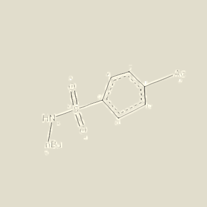 CCCCNS(=O)(=O)c1ccc(C(C)=O)cc1